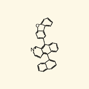 c1ccc2c(-c3c4ccccc4c(-c4ccc5oc6ccccc6c5c4)c4cnccc34)cccc2c1